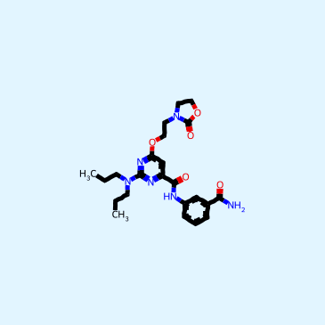 CCCN(CCC)c1nc(OCCN2CCOC2=O)cc(C(=O)Nc2cccc(C(N)=O)c2)n1